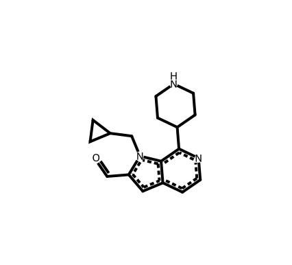 O=Cc1cc2ccnc(C3CCNCC3)c2n1CC1CC1